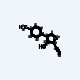 Cc1ccc(-c2cnc(C#N)n2O)cc1